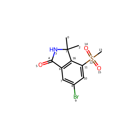 CC1(C)NC(=O)c2cc(Br)cc(S(C)(=O)=O)c21